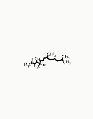 CNCC(O)C(C)(O)CCCC(C)CCCC(C)C